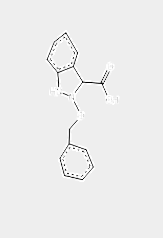 O=C(O)C1c2ccccc2NN1OCc1ccccc1